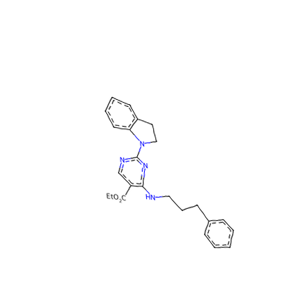 CCOC(=O)c1cnc(N2CCc3ccccc32)nc1NCCCc1ccccc1